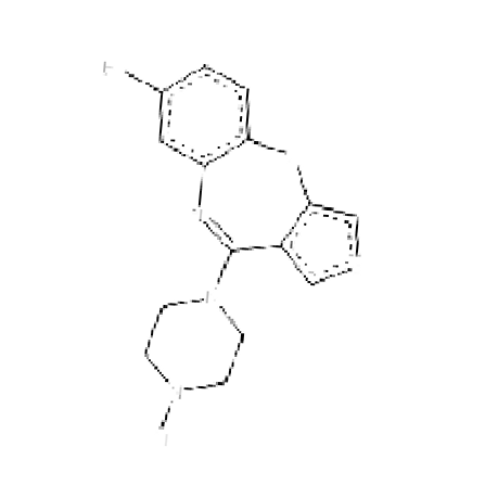 CN1CCN(C2=Nc3cc(Br)ccc3Oc3cscc32)CC1